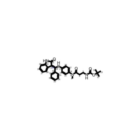 CN(C(=O)CCNC(=O)OC(C)(C)C)c1ccc(N/C(=C2\C(=O)Nc3ccccc32)c2ccccc2)cc1